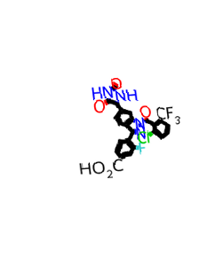 O=C1NC(=O)C(c2ccc3c(-c4ccc(C(=O)O)cc4F)nn(C(=O)c4c(Cl)cccc4C(F)(F)F)c3c2)N1